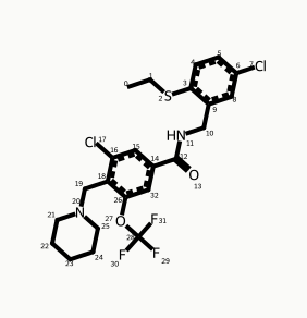 CCSc1ccc(Cl)cc1CNC(=O)c1cc(Cl)c(CN2CCCCC2)c(OC(F)(F)F)c1